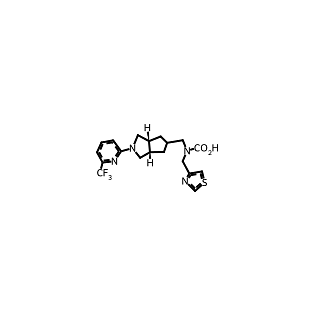 O=C(O)N(Cc1cscn1)CC1C[C@@H]2CN(c3cccc(C(F)(F)F)n3)C[C@@H]2C1